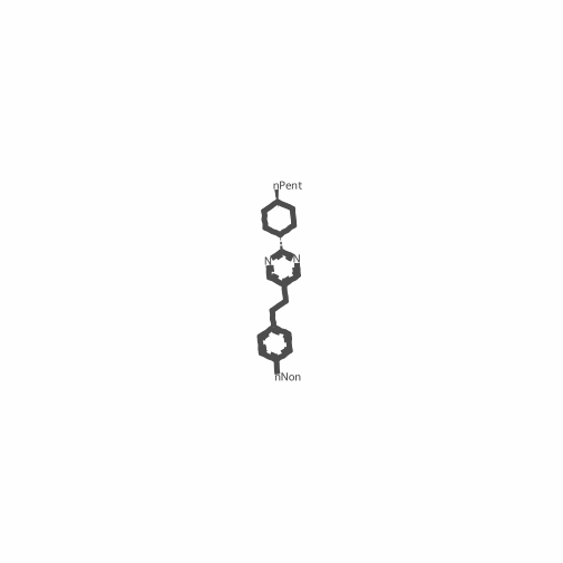 CCCCCCCCCc1ccc(CCc2cnc([C@H]3CC[C@H](CCCCC)CC3)nc2)cc1